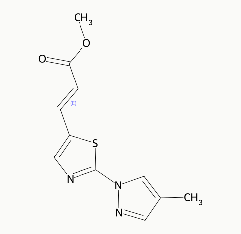 COC(=O)/C=C/c1cnc(-n2cc(C)cn2)s1